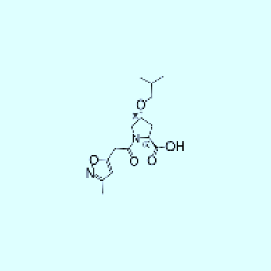 Cc1cc(CC(=O)N2C[C@H](OCC(C)C)C[C@H]2C(=O)O)on1